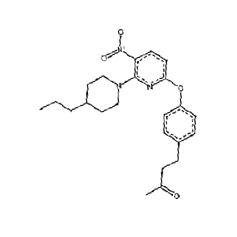 CCCC1CCN(c2nc(Oc3ccc(CCC(C)=O)cc3)ccc2[N+](=O)[O-])CC1